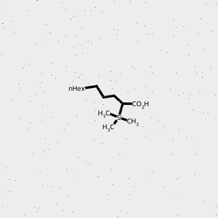 CCCCCCCCCC(C(=O)O)[Si](C)(C)C